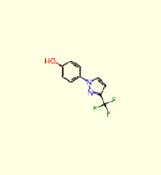 Oc1ccc(-n2ccc(C(F)(F)F)n2)cc1